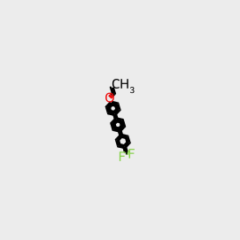 CCCOc1ccc(-c2ccc(C3CCC(C(F)F)CC3)cc2)cc1